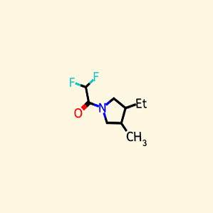 CCC1CN(C(=O)C(F)F)CC1C